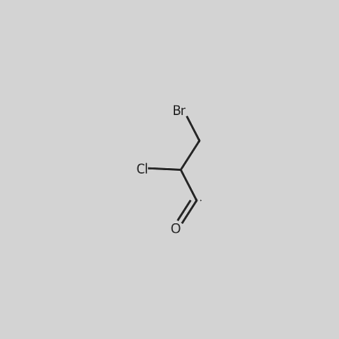 O=[C]C(Cl)CBr